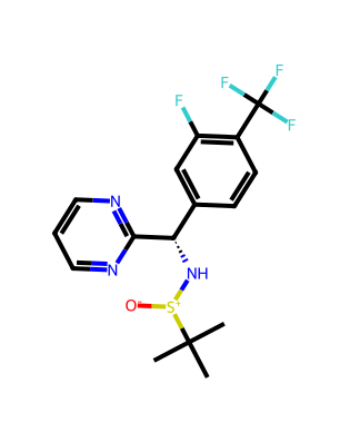 CC(C)(C)[S+]([O-])N[C@@H](c1ccc(C(F)(F)F)c(F)c1)c1ncccn1